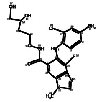 Bc1ccc(Nc2c(C(=O)NOCCC(O)CO)cc3c(ncn3C)c2F)c(Cl)c1